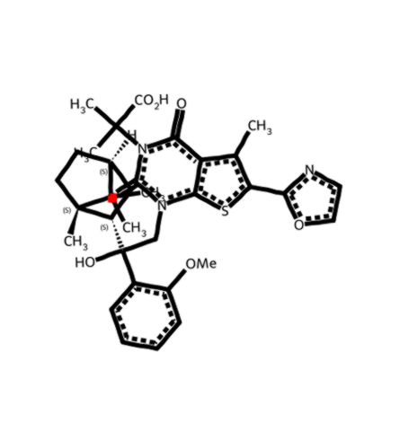 COc1ccccc1C(O)(Cn1c(=O)n(C(C)(C)C(=O)O)c(=O)c2c(C)c(-c3ncco3)sc21)[C@H]1C[C@@H]2CC[C@]1(C)C2(C)C